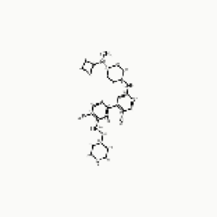 CN(C1CCO1)[C@H]1CC[C@H](Nc2cc(-c3ccc(F)c(NCC4CCOCC4)n3)c(Cl)cn2)CC1